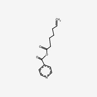 C=CCCCCC(=O)OC(=O)c1ccncc1